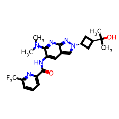 CN(C)c1nc2nn([C@H]3C[C@H](C(C)(C)O)C3)cc2cc1NC(=O)c1cccc(C(F)(F)F)n1